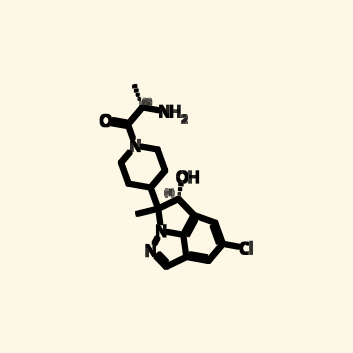 C[C@H](N)C(=O)N1CCC(C2(C)[C@H](O)c3cc(Cl)cc4cnn2c34)CC1